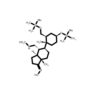 CC(C)(C)[Si](C)(C)OC[C@H]1C[C@@H](O[Si](C)(C)C(C)(C)C)CC[C@]1(C)[C@H]1CC[C@]2(C)/C(=N/O)CC[C@H]2[C@@H]1CNC(=O)O